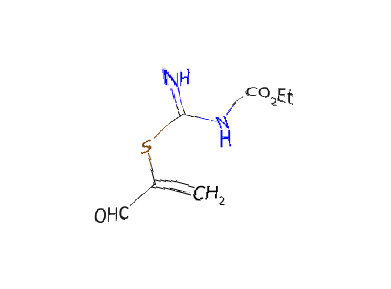 C=C(C=O)SC(=N)NC(=O)OCC